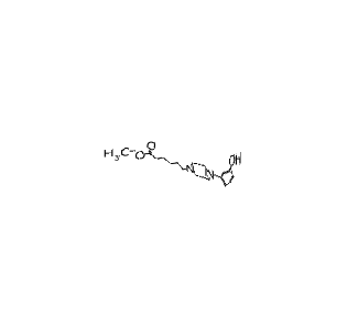 CCOC(=O)CCCCCN1CCN(c2cccc(O)c2)CC1